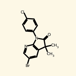 CC1(C)C(=O)N(c2ccc(Cl)cc2)c2ncc(Br)cc21